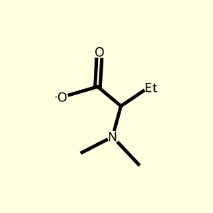 CCC(C([O])=O)N(C)C